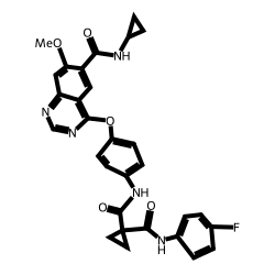 COc1cc2ncnc(Oc3ccc(NC(=O)C4(C(=O)Nc5ccc(F)cc5)CC4)cc3)c2cc1C(=O)NC1CC1